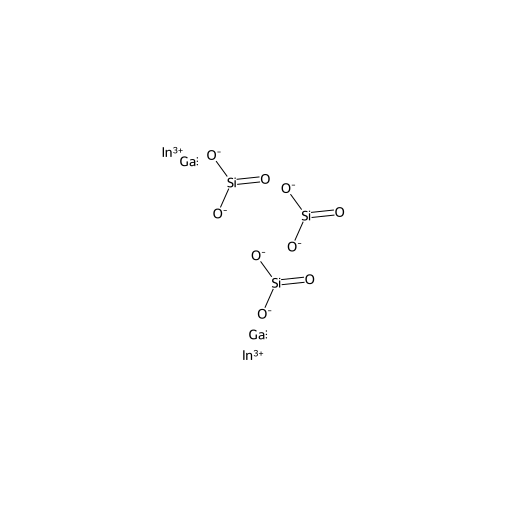 O=[Si]([O-])[O-].O=[Si]([O-])[O-].O=[Si]([O-])[O-].[Ga].[Ga].[In+3].[In+3]